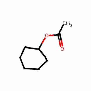 CC(=O)OC1C[CH]CCC1